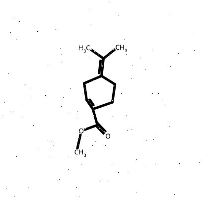 COC(=O)C1=CCC(=C(C)C)CC1